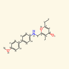 CCc1cc(=O)c(C)c(CNc2ccc(-c3ccc(OC)cc3)cc2)o1